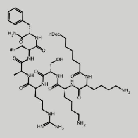 CCCCCCCCCCCCCCCC(=O)N[C@@H](CCCCN)C(=O)N[C@@H](CCCCN)C(=O)N[C@@H](CO)C(=O)N[C@@H](CCCNC(=N)N)C(=O)N[C@@H](C)C(=O)N[C@@H](CC(C)C)C(=O)N[C@@H](Cc1ccccc1)C(N)=O